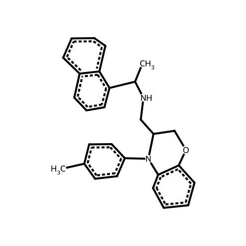 Cc1ccc(N2c3ccccc3OCC2CNC(C)c2cccc3ccccc23)cc1